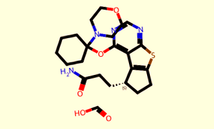 NC(=O)CC[C@H]1CCc2sc3ncnc(OC4(N5CCOCC5)CCCCC4)c3c21.O=CO